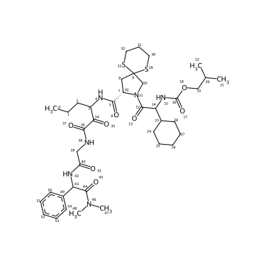 CCCC(NC(=O)[C@@H]1CC2(CN1C(=O)C(NC(=O)OCC(C)C)C1CCCCC1)SCCCS2)C(=O)C(=O)NCC(=O)NC(C(=O)N(C)C)c1ccccc1